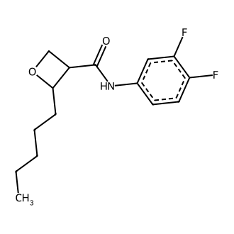 CCCCCC1OCC1C(=O)Nc1ccc(F)c(F)c1